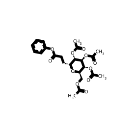 CC(=O)OC[C@H]1O[C@H](CCC(=O)Oc2ccccc2)[C@H](OC(C)=O)[C@@H](OC(C)=O)[C@@H]1OC(C)=O